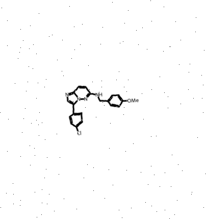 COc1ccc(CNc2ccc3ncc(-c4ccc(Cl)cc4)n3n2)cc1